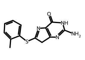 Cc1ccccc1SC1=Nc2c(nc(N)[nH]c2=O)C1